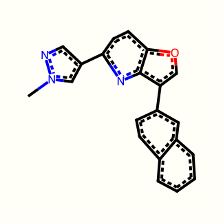 Cn1cc(-c2ccc3occ(-c4ccc5ccccc5c4)c3n2)cn1